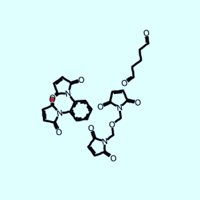 O=C1C=CC(=O)N1COCN1C(=O)C=CC1=O.O=C1C=CC(=O)N1c1ccccc1N1C(=O)C=CC1=O.O=CCCCC=O